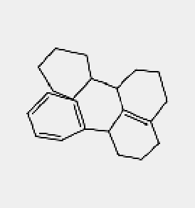 c1ccc(C2CCCC3=C2C(C2CCCCC2)CCC3)cc1